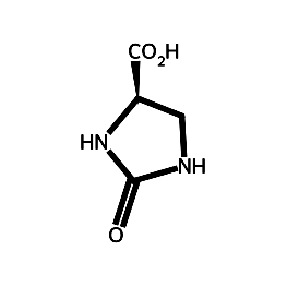 O=C1NC[C@H](C(=O)O)N1